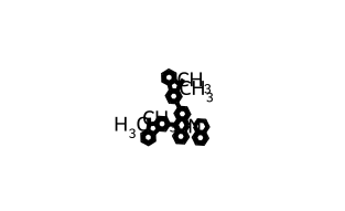 CC1(C)c2ccccc2-c2cc(-c3c4ccccc4c(N4CCCc5ccccc54)c4ccc(-c5ccc6c(c5)C(C)(C)c5ccccc5-6)cc34)ccc21